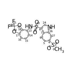 CS(=O)(=O)c1ccc2c(S(=O)(=O)Nc3cccc4c3OC(F)(F)O4)c[nH]c2c1